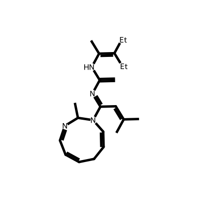 C=C(/N=C(\C=C(C)C)N1/C=C\C/C=C\C=N/C1C)NC(C)=C(CC)CC